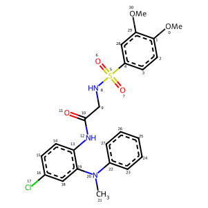 COc1ccc(S(=O)(=O)NCC(=O)Nc2ccc(Cl)cc2N(C)c2ccccc2)cc1OC